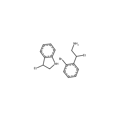 CCC(CN)c1ccccc1Br.CCC1CNc2ccccc21